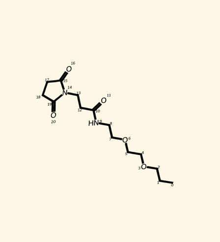 CCCOCCOCCNC(=O)CCN1C(=O)CCC1=O